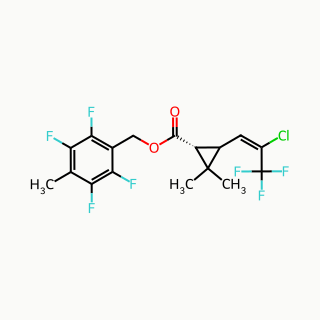 Cc1c(F)c(F)c(COC(=O)[C@@H]2C(/C=C(/Cl)C(F)(F)F)C2(C)C)c(F)c1F